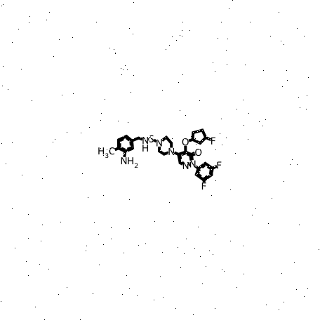 Cc1ccc(CNSN2CCN(c3cnn(-c4cc(F)cc(F)c4)c(=O)c3OC3CCC(F)C3)CC2)cc1N